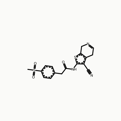 CS(=O)(=O)c1ccc(CC(=O)Nc2sc3c(c2C#N)CC=NC3)cc1